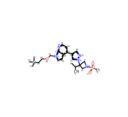 CCS(=O)(=O)N1CC(C(C)C#N)(n2cc(-c3ccnc4c3ccn4COCC[Si](C)(C)C)cn2)C1